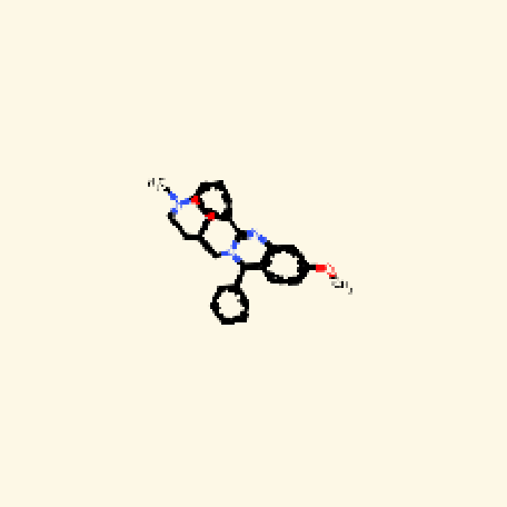 COc1ccc2c(c1)N=C(c1ccccc1)N(CC1CCN(C)CC1)C2c1ccccc1